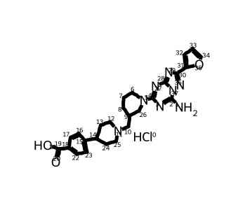 Cl.Nc1nc(N2CCCC(CN3CCC(c4ccc(C(=O)O)cc4)CC3)C2)nc2nc(-c3ccco3)nn12